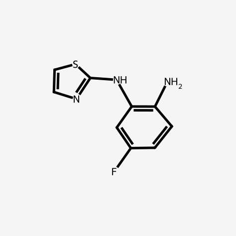 Nc1ccc(F)cc1Nc1nccs1